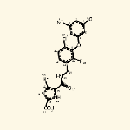 N#Cc1cc(Cl)cc(Oc2c(Cl)ccc(CNC(=O)c3[nH]c(C(=O)O)nc3Br)c2F)c1